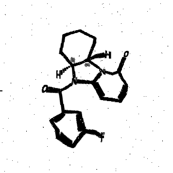 O=C(c1cccc(F)c1)N1c2cccc(=O)n2[C@H]2CCCC[C@@H]21